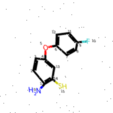 Nc1ccc(Oc2ccc(F)cc2)cc1S